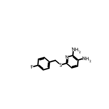 Nc1ccc(SCc2ccc(F)cc2)nc1N